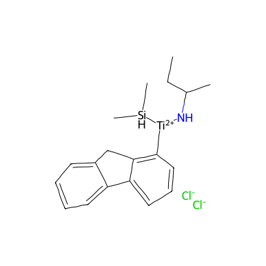 CCC(C)[NH][Ti+2]([c]1cccc2c1Cc1ccccc1-2)[SiH](C)C.[Cl-].[Cl-]